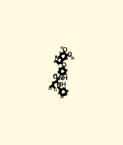 COc1cc2nccc(Oc3ccc(NC(=O)C(CC(C)C)NCC4=CC=CCC4)cc3)c2cc1OC